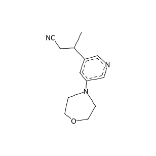 CC(CC#N)c1cncc(N2CCOCC2)c1